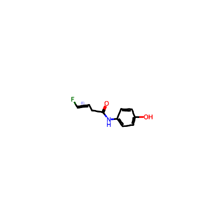 O=C(C/C=C/F)Nc1ccc(O)cc1